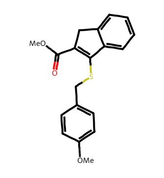 COC(=O)C1=C(SCc2ccc(OC)cc2)c2ccccc2C1